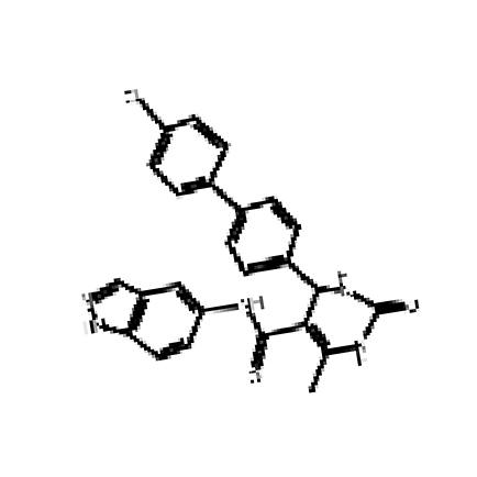 CC1=C(C(=O)Nc2ccc3[nH]ncc3c2)C(c2ccc(-c3ccc(Cl)cc3)cc2)NC(=O)N1